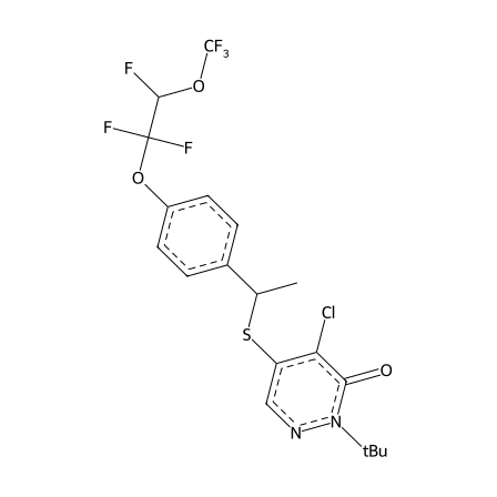 CC(Sc1cnn(C(C)(C)C)c(=O)c1Cl)c1ccc(OC(F)(F)C(F)OC(F)(F)F)cc1